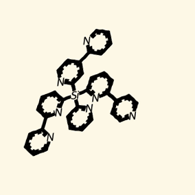 c1ccc(-c2ccnc([Si](c3ccccn3)(c3cccc(-c4ccncc4)n3)c3cccc(-c4ccccn4)n3)c2)nc1